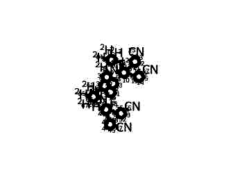 [2H]c1c([2H])c([2H])c(N(c2ccc(-c3cccc(C#N)c3)c(-c3cccc(C#N)c3)c2F)c2ccc3ccc4c(N(c5ccc(-c6cccc(C#N)c6)c(-c6cccc(C#N)c6)c5F)c5c([2H])c([2H])c([2H])c([2H])c5[2H])ccc5ccc2c3c54)c([2H])c1[2H]